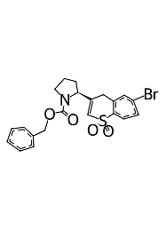 O=C(OCc1ccccc1)N1CCC[C@H]1C1=CS(=O)(=O)c2ccc(Br)cc2C1